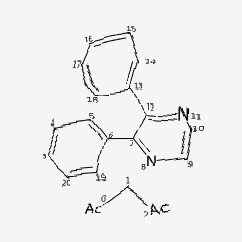 CC(=O)CC(C)=O.c1ccc(-c2nccnc2-c2ccccc2)cc1